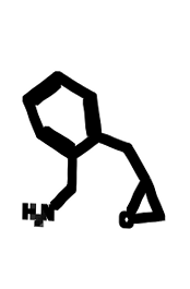 NCc1ccccc1CC1CO1